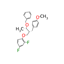 COc1ccc(C[C@H](COc2ccc(F)cc2F)[C@H](C)OCc2ccccc2)cc1